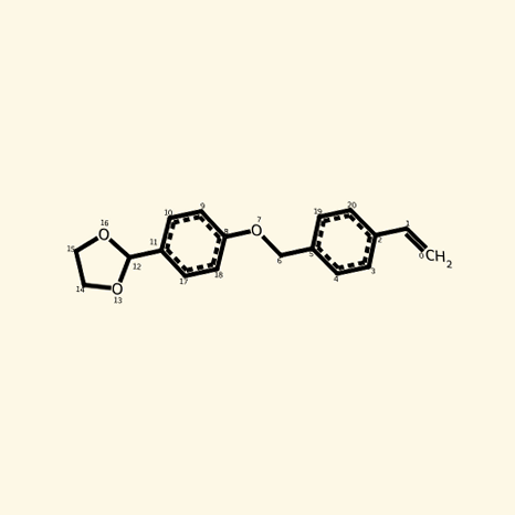 C=Cc1ccc(COc2ccc(C3OCCO3)cc2)cc1